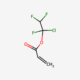 C=CC(=O)OC(F)(Cl)C(F)F